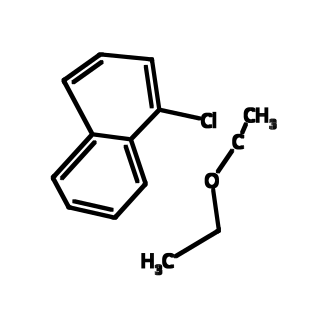 CCOCC.Clc1cccc2ccccc12